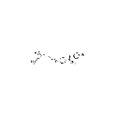 C=CCN(C)CCCCCOC1CCC(N(C)C(=O)c2ccc(Br)cc2)CC1